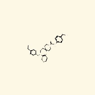 CCc1ccc(CN2CCC3(CCN(C(=O)Nc4ccc(CO)cc4)CC3)OC3=C2CCC=C3)cc1